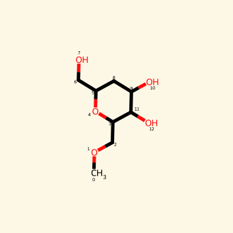 COCC1OC(CO)CC(O)C1O